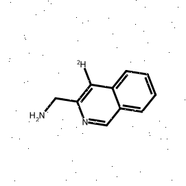 [2H]c1c(CN)ncc2ccccc12